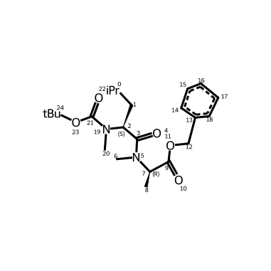 CC(C)C[C@@H](C(=O)N(C)[C@H](C)C(=O)OCc1ccccc1)N(C)C(=O)OC(C)(C)C